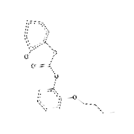 CCCCOc1ccccc1OC(=O)Oc1ccccc1Cl